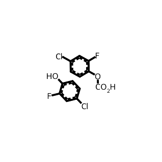 O=C(O)Oc1ccc(Cl)cc1F.Oc1ccc(Cl)cc1F